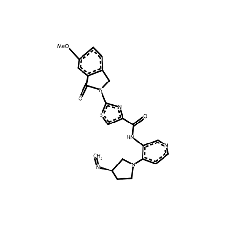 C=N[C@@H]1CCN(c2ccncc2NC(=O)c2csc(N3Cc4ccc(OC)cc4C3=O)n2)C1